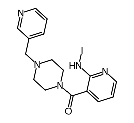 O=C(c1cccnc1NI)N1CCN(Cc2cccnc2)CC1